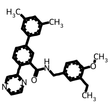 CCc1cc(CNC(=O)c2cc(-c3cc(C)cc(C)c3)ccc2-c2cnccn2)ccc1OC